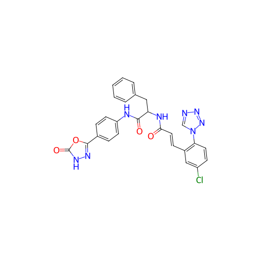 O=C(/C=C/c1cc(Cl)ccc1-n1cnnn1)NC(Cc1ccccc1)C(=O)Nc1ccc(-c2n[nH]c(=O)o2)cc1